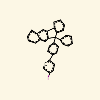 Ic1ccc(-c2ccc(C3(c4ccccc4)c4ccccc4-c4cc5ccccc5cc43)cc2)cc1